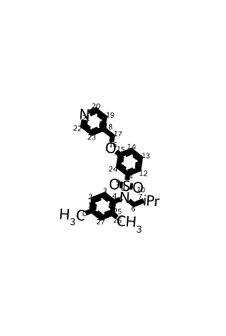 Cc1ccc(N(CC(C)C)S(=O)(=O)c2cccc(OCc3ccncc3)c2)c(C)c1